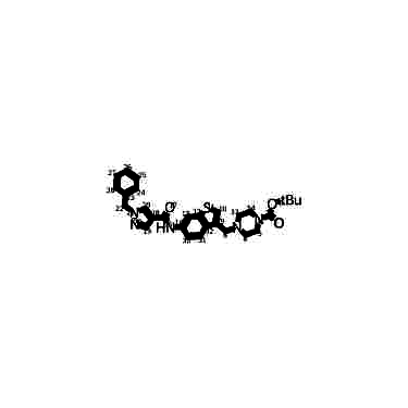 CC(C)(C)OC(=O)N1CCN(Cc2csc3cc(NC(=O)c4cnn(Cc5ccccc5)c4)ccc23)CC1